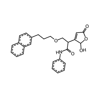 O=C1C=C(C(COCCCc2ccc3ccccc3c2)C(=O)Nc2ccccc2)C(O)O1